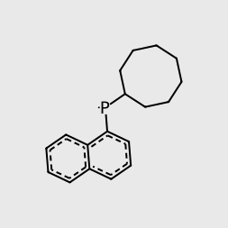 c1ccc2c([P]C3CCCCCCC3)cccc2c1